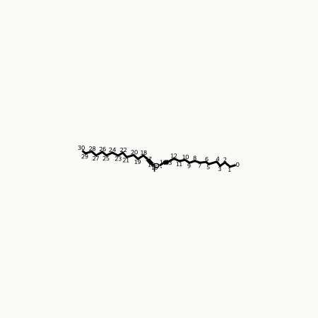 CCCCCCCCCCCCCC#C[P]C#CCCCCCCCCCCCCC